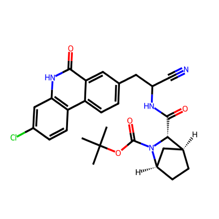 CC(C)(C)OC(=O)N1[C@@H]2CC[C@@H](C2)[C@H]1C(=O)NC(C#N)Cc1ccc2c(c1)c(=O)[nH]c1cc(Cl)ccc12